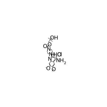 COc1cc2nc(N3CCN(C(=O)OCC(C)(C)O)CC3)cc(N)c2cc1OC.Cl.O